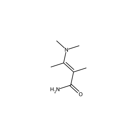 CC(C(N)=O)=C(C)N(C)C